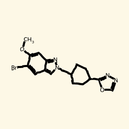 COc1cc2nn(C3CCC(c4nnco4)CC3)cc2cc1Br